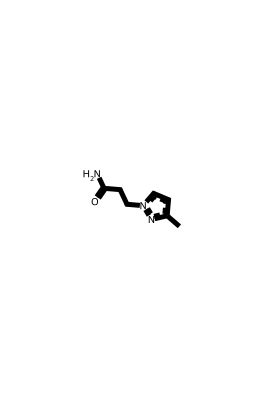 Cc1ccn(CCC(N)=O)n1